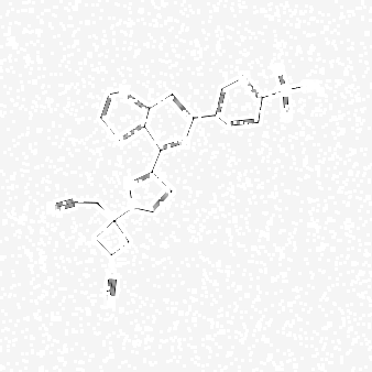 CS(=O)(=O)c1ccc(-c2cc3ncccc3c(-c3ccn([C@]4(CC#N)C[C@H](C#N)C4)n3)n2)cn1